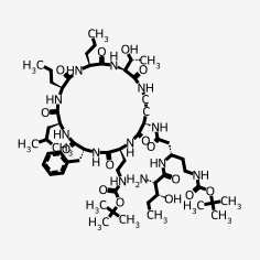 CCC[C@@H]1NC(=O)[C@H](CC(C)C)NC(=O)[C@@H](Cc2ccccc2)NC(=O)[C@H](CCNC(=O)OC(C)(C)C)NC(=O)[C@@H](NC(=O)C[C@H](CCNC(=O)OC(C)(C)C)NC(=O)[C@@H](N)[C@H](O)CC)CCNC(=O)[C@H]([C@@H](C)O)NC(=O)[C@H](CCC)NC1=O